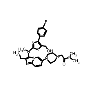 CCc1nc2ccc(N3CCN(CC(=O)N(C)C)CC3)cn2c1N(C)c1nc(-c2ccc(F)cc2)c(CO)s1